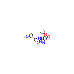 CCC(CC)Oc1cc2c(Nc3cc(-c4cccc(N5CCC5)c4)ccc3OC)ncnc2cc1OC